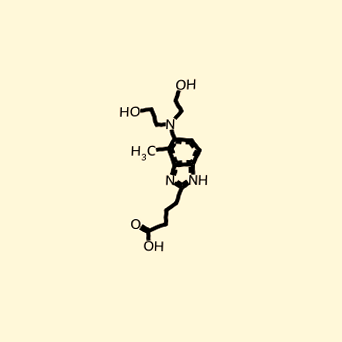 Cc1c(N(CCO)CCO)ccc2[nH]c(CCCC(=O)O)nc12